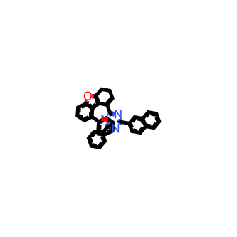 C1=C(c2nc(-c3ccccc3)nc(-c3ccc4ccccc4c3)n2)c2c(oc3cccc(-c4ccccc4)c23)CC1